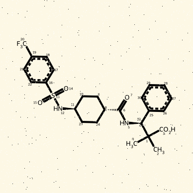 CC(C)(C(=O)O)[C@@H](NC(=O)[C@H]1CC[C@H](NS(=O)(=O)c2ccc(C(F)(F)F)cc2)CC1)c1ccccc1